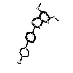 COc1cc(OC)c2cnc(-c3ccc(N4CCC(O)CC4)cc3)nc2n1